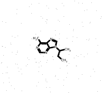 CCC(C)n1cnc2c(C)ncnc21